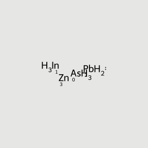 [AsH3].[InH3].[PbH2].[Zn]